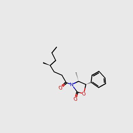 CCC[C@H](C)CCC(=O)N1C(=O)O[C@@H](c2ccccc2)[C@H]1C